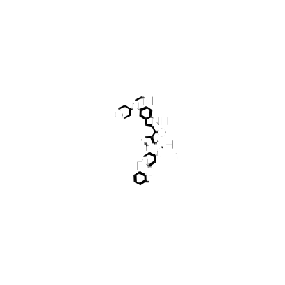 Cc1cc(Oc2c(F)cccc2F)ncc1-n1ncc(C(=O)c2cc3cc4c(cc3[nH]2)NCCN4C2CCOCC2)c1N